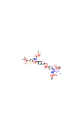 CC(C)(C)OC(=O)CN(Cc1csc(C(=O)OC(C)(C)C)c1)C(=O)c1ccc2cc(OC(=O)c3ccc(N(C(=O)OC(C)(C)C)C(N)=NC(=O)OC(C)(C)C)cc3)ccc2c1